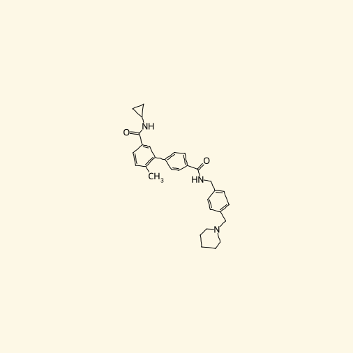 Cc1ccc(C(=O)NC2CC2)cc1-c1ccc(C(=O)NCc2ccc(CN3CCCCC3)cc2)cc1